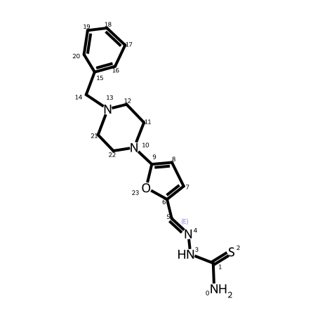 NC(=S)N/N=C/c1ccc(N2CCN(Cc3ccccc3)CC2)o1